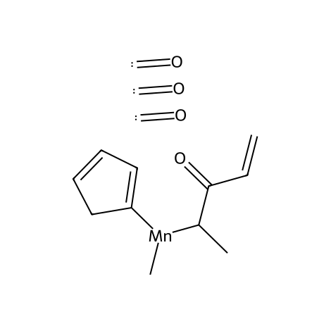 C=CC(=O)[CH](C)[Mn]([CH3])[C]1=CC=CC1.[C]=O.[C]=O.[C]=O